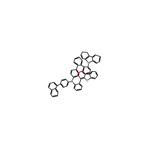 C1=Cc2c(c3ccccc3n2-c2ccccc2-c2ccccc2-c2ccc(N(c3ccc(-c4cccc5ccccc45)cc3)c3ccccc3-c3cccc4c3oc3ccccc34)cc2)CC1